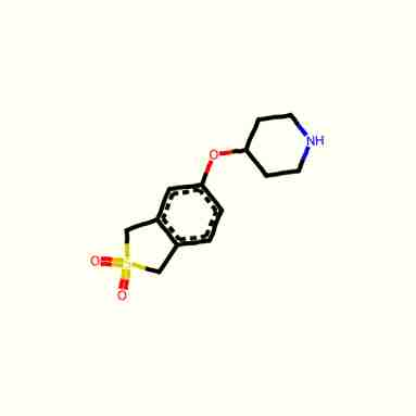 O=S1(=O)Cc2ccc(OC3CCNCC3)cc2C1